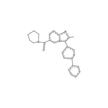 Cc1nc2ccc(C(=O)N3CCCCC3)cn2c1-c1ccc(-c2ccccc2)cc1